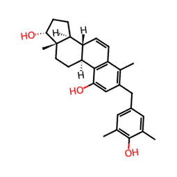 Cc1cc(Cc2cc(O)c3c(c2C)C=C[C@@H]2[C@@H]3CC[C@]3(C)[C@H](O)CC[C@@H]23)cc(C)c1O